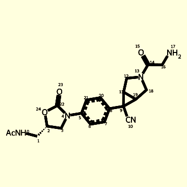 CC(=O)NC[C@H]1CN(c2ccc(C3(C#N)C4CN(C(=O)CN)CC43)cc2)C(=O)O1